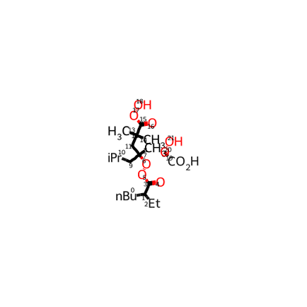 CCCCC(CC)C(=O)OOC(C)(CC(C)C)CC(C)(C)C(=O)OO.O=C(O)OO